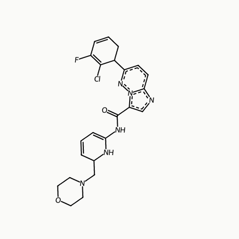 O=C(NC1=CC=CC(CN2CCOCC2)N1)c1cnc2ccc(C3CC=CC(F)=C3Cl)nn12